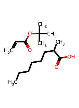 C=CC(=O)OC(C)(C)C.CCCCCCC(C)C(=O)O